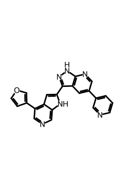 c1cncc(-c2cnc3[nH]nc(-c4cc5c(-c6ccoc6)cncc5[nH]4)c3c2)c1